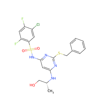 C[C@H](CO)Nc1cc(NS(=O)(=O)c2cc(Cl)c(F)cc2F)nc(SCc2ccccc2)n1